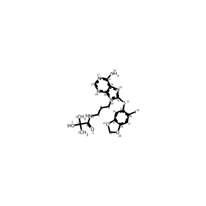 CC(C)(O)C(=O)NCCCn1c(Sc2cc3c(cc2I)OCO3)nc2c(N)ncnc21